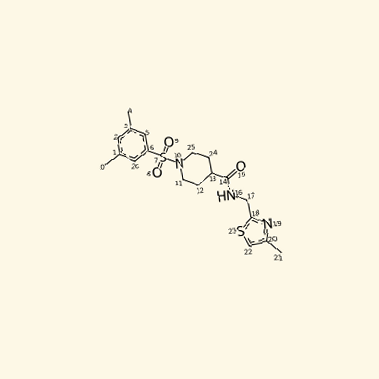 Cc1cc(C)cc(S(=O)(=O)N2CCC(C(=O)NCc3nc(C)cs3)CC2)c1